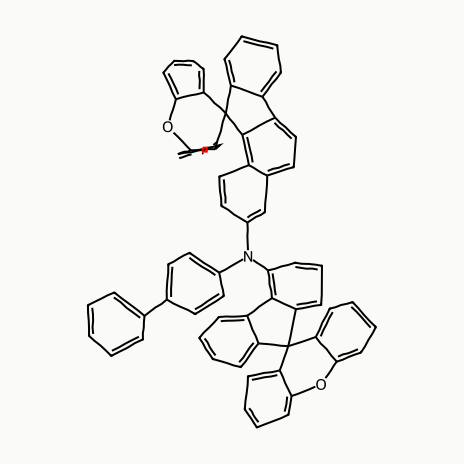 c1ccc(-c2ccc(N(c3ccc4c5c(ccc4c3)-c3ccccc3C53c4ccccc4Oc4ccccc43)c3cccc4c3-c3ccccc3C43c4ccccc4Oc4ccccc43)cc2)cc1